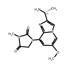 COc1cc(N2CC(=O)N(C)C2=O)c2nc([C@@H](C)N)cn2c1